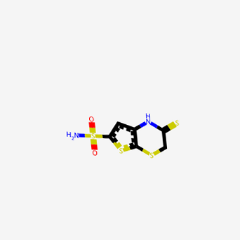 NS(=O)(=O)c1cc2c(s1)SCC(=S)N2